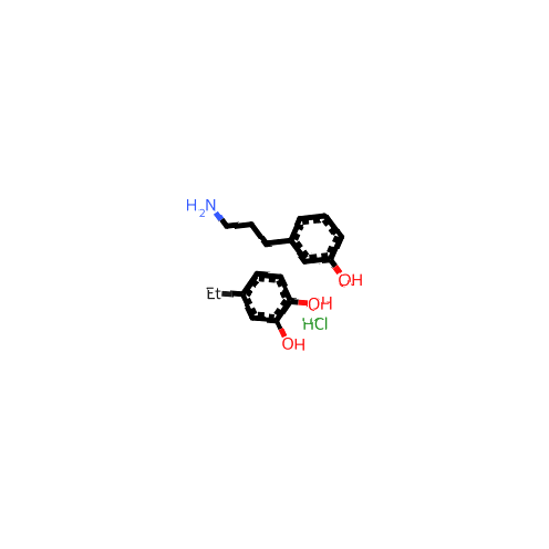 CCc1ccc(O)c(O)c1.Cl.NCCCc1cccc(O)c1